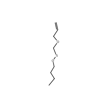 C=CCO[CH2][Ti][O]CCCC